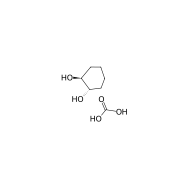 O=C(O)O.O[C@H]1CCCC[C@@H]1O